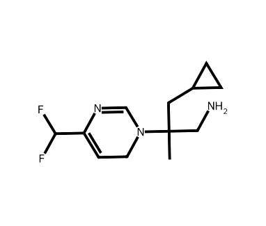 CC(CN)(CC1CC1)N1C=NC(C(F)F)=CC1